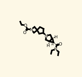 CCOC(=O)N1CC2(CCC(N3C[C@@H]4[C@H](C3)[C@H]4C(=O)N(CC)CC)C2)C1